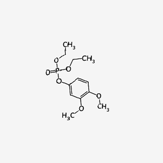 CCOP(=O)(OCC)Oc1ccc(OC)c(OC)c1